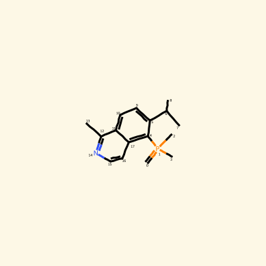 C=P(C)(C)c1c(C(C)C)ccc2c(C)nccc12